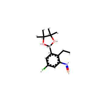 CCc1c(N=O)cc(F)cc1B1OC(C)(C)C(C)(C)O1